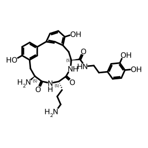 NCCC[C@@H]1NC(=O)[C@@H](N)Cc2cc(ccc2O)-c2ccc(O)c(c2)C[C@@H](C(=O)NCCc2ccc(O)c(O)c2)NC1=O